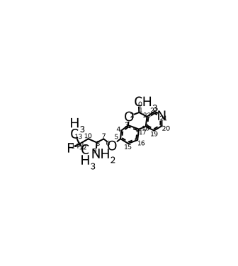 CC1Oc2cc(OCC(N)CC(C)(C)F)ccc2-c2ccncc21